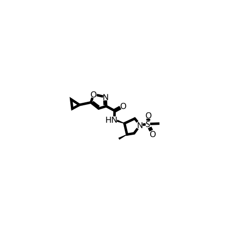 C[C@@H]1CN(S(C)(=O)=O)C[C@@H]1NC(=O)c1cc(C2CC2)on1